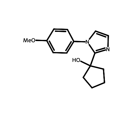 COc1ccc(-n2ccnc2C2(O)CCCC2)cc1